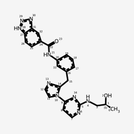 C[C@H](O)CNc1nccc(-n2ccnc2Cc2cccc(NC(=O)c3ccc4[nH]nnc4c3)c2)n1